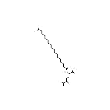 CC(S)C(=O)CC[C@H](NC(=O)CCCCCCCCCCCCCCCCC(=O)O)C(=O)O